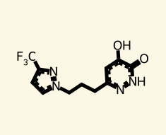 O=c1[nH]nc(CCCn2ccc(C(F)(F)F)n2)cc1O